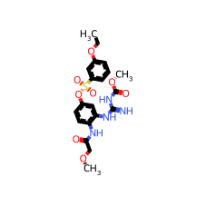 CCOc1cccc(S(=O)(=O)Oc2ccc(NC(=O)COC)c(NC(=N)NC(=O)OC)c2)c1